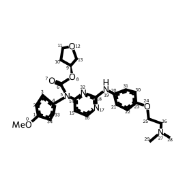 COc1ccc(N(C(=O)O[C@H]2CCOC2)c2ccnc(Nc3ccc(OCCN(C)C)cc3)n2)cc1